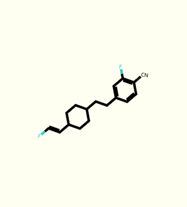 N#Cc1ccc(CCC2CCC(/C=C/F)CC2)cc1F